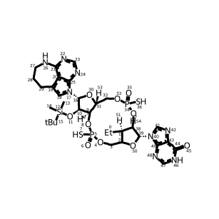 CC[C@@H]1C2COP(=O)(S)O[C@H]3[C@@H](O[Si](C)(C)C(C)(C)C)[C@H](n4cc5c6c(ncnc64)NCCC5)O[C@@H]3COP(=O)(S)O[C@H]1[C@H](n1cnc3c(=O)[nH]cnc31)O2